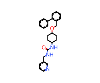 O=C(NCc1cccnc1)NC1CCC(OCc2ccccc2-c2ccccc2)CC1